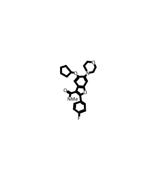 CNC(=O)c1c(-c2ccc(F)cc2)oc2cc(N3CCOCC3)c(OC3CCCC3)cc12